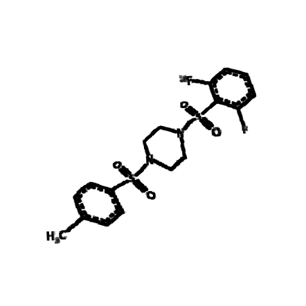 Cc1ccc(S(=O)(=O)N2CCN(S(=O)(=O)c3c(F)cccc3[18F])CC2)cc1